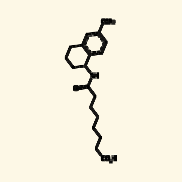 COc1ccc2c(c1)CCCC2NC(=O)CCCCCCC(=O)O